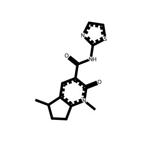 CC1CCc2c1cc(C(=O)Nc1nccs1)c(=O)n2C